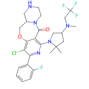 CN(CC(F)(F)F)C1CN(c2nc(-c3ccccc3F)c(Cl)c3c2C(=O)N2CCNCC2CO3)C(C)(C)C1